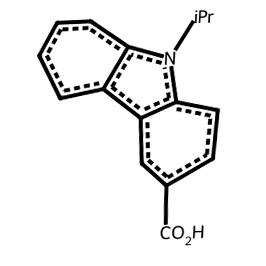 CC(C)n1c2ccccc2c2cc(C(=O)O)ccc21